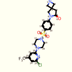 O=C1CC2(CNC2)CN1c1ccc(S(=O)(=O)N2CCN(c3cc(C(F)(F)F)cc(Cl)n3)CC2)cc1